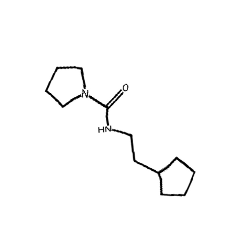 O=C(NCCC1CCCC1)N1CCCC1